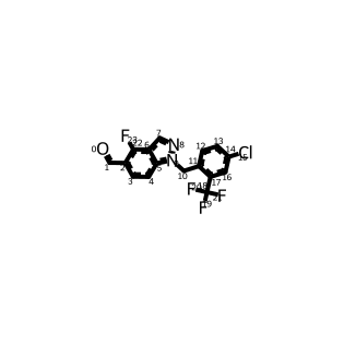 O=Cc1ccc2c(cnn2Cc2ccc(Cl)cc2C(F)(F)F)c1F